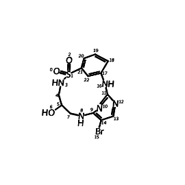 O=S1(=O)NCC(O)CNc2nc(ncc2Br)Nc2cccc1c2